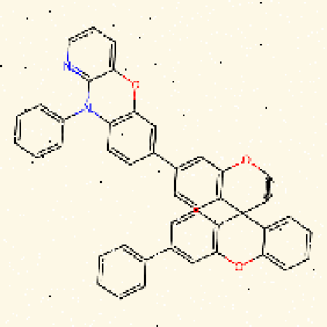 c1ccc(-c2ccc3c(c2)Oc2ccccc2C32c3ccccc3Oc3cc(-c4ccc5c(c4)Oc4cccnc4N5c4ccccc4)ccc32)cc1